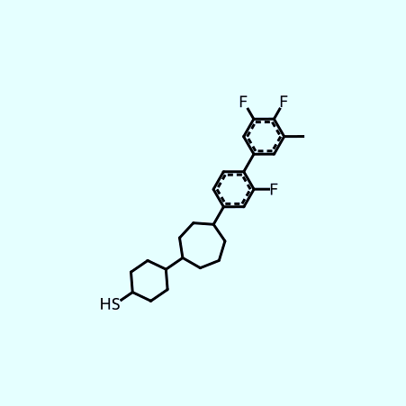 Cc1cc(-c2ccc(C3CCCC(C4CCC(S)CC4)CC3)cc2F)cc(F)c1F